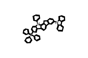 c1ccc(-n2c3ccc([Si](c4ccccc4)(c4ccccc4)c4ccccc4)cc3c3ccc4c(c32)Cc2ccc(-n3c5ccccc5c5ccccc53)cc2-4)cc1